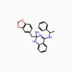 CC(NC1=NC(N)(Cc2ccc3c(c2)OCO3)Nc2ccccc21)c1ccccc1